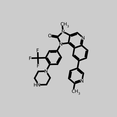 Cc1ccc(-c2ccc3ncc4c(c3c2)n(-c2ccc(N3CCNCC3)c(C(F)(F)F)c2)c(=O)n4C)cn1